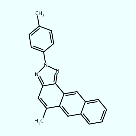 Cc1ccc(-n2nc3cc(C)c4cc5ccccc5cc4c3n2)cc1